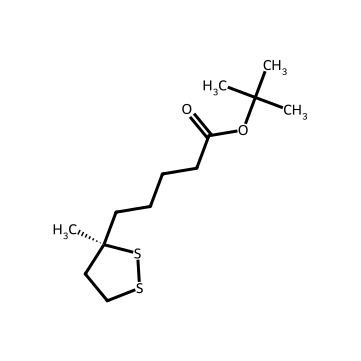 CC(C)(C)OC(=O)CCCC[C@]1(C)CCSS1